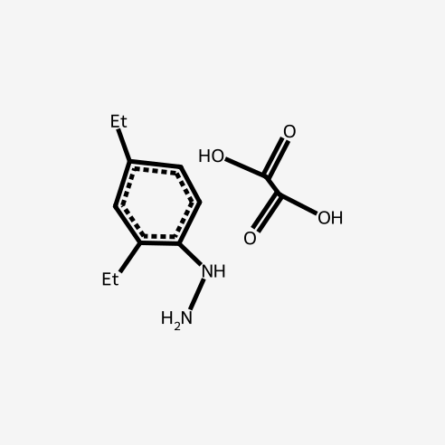 CCc1ccc(NN)c(CC)c1.O=C(O)C(=O)O